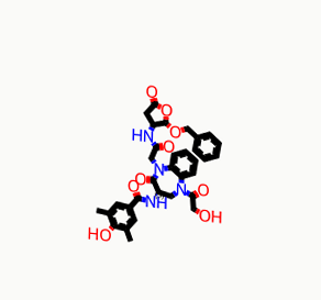 Cc1cc(C(=O)N[C@H]2CN(C(=O)CO)c3ccccc3N(CC(=O)NC3CC(=O)OC3OCc3ccccc3)C2=O)cc(C)c1O